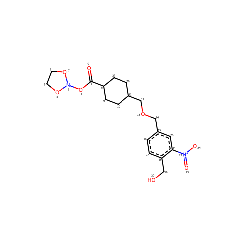 O=C(ON1OCCO1)C1CCC(COCc2ccc(CO)c([N+](=O)[O-])c2)CC1